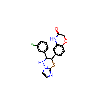 O=C1COc2ccc(C3SC4=NC=C[N+]4NC3c3cccc(F)c3)cc2N1